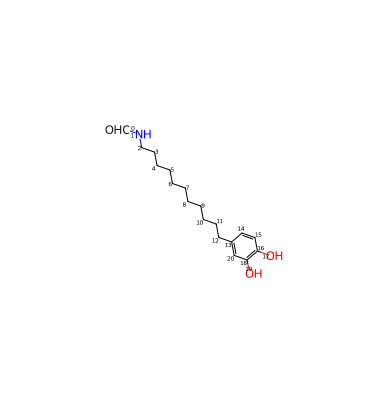 O=CNCCCCCCCCCCCc1ccc(O)c(O)c1